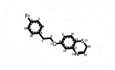 Fc1ccc(CCOc2ccc3c(c2)N=CCS3)cc1